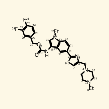 CCN1CCN(Cc2csc(-c3ccc4c(c3)c(NC(=O)OCc3ccc(F)c(F)c3)cn4CC)n2)CC1